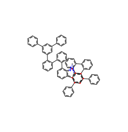 Cn1c2c(-c3ccccc3-c3ccccc3-c3cc(-c4ccccc4)cc(-c4ccccc4)c3)cccc2c2cccc(-c3ccccc3-c3ccccc3-c3cc(-c4ccccc4)cc(-c4ccccc4)c3)c21